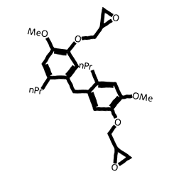 CCCc1cc(OC)c(OCC2CO2)cc1Cc1cc(OCC2CO2)c(OC)cc1CCC